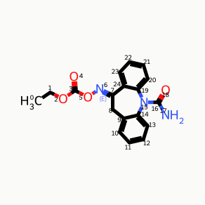 CCOC(=O)O/N=C1\Cc2ccccc2N(C(N)=O)c2ccccc21